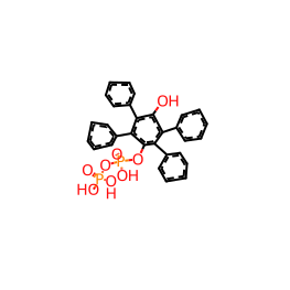 O=P(O)(O)OP(=O)(O)Oc1c(-c2ccccc2)c(-c2ccccc2)c(O)c(-c2ccccc2)c1-c1ccccc1